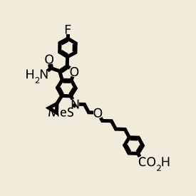 CSN(CCOCCCCc1ccc(C(=O)O)cc1)c1cc2oc(-c3ccc(F)cc3)c(C(N)=O)c2cc1C1CC1